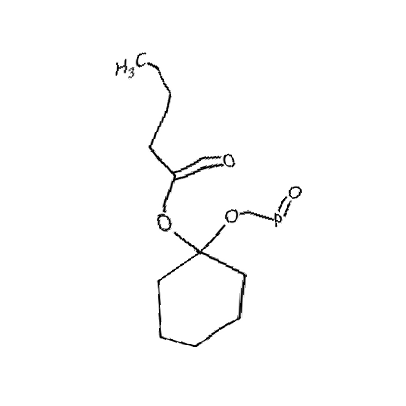 CCCC(=O)OC1(OP=O)CCCCC1